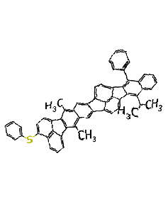 Cc1c2cc3c(cc2c(C)c2c4cccc5c(Sc6ccccc6)ccc(c12)c54)c1ccc2c4c(ccc3c41)-c1c-2c(C(C)C)c2ccccc2c1-c1ccccc1